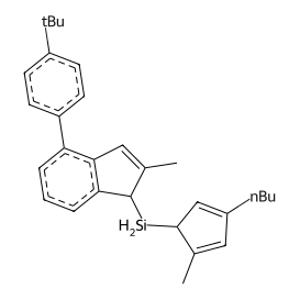 CCCCC1=CC([SiH2]C2C(C)=Cc3c(-c4ccc(C(C)(C)C)cc4)cccc32)C(C)=C1